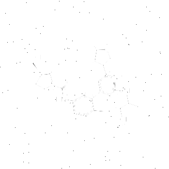 Cc1ccc(NC(=O)N2CC[C@@H](CC(F)(F)F)C2)cc1-c1cc(NC(C)CO)nc(C2CCOC2)c1